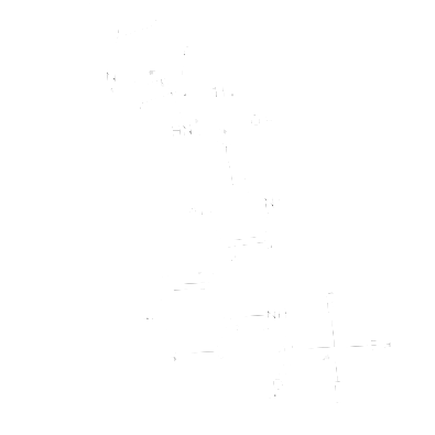 CC1CC2CCN1C[C@@H]2NC(=O)c1ncc(-c2ccccc2NC(=O)C(F)(F)F)o1